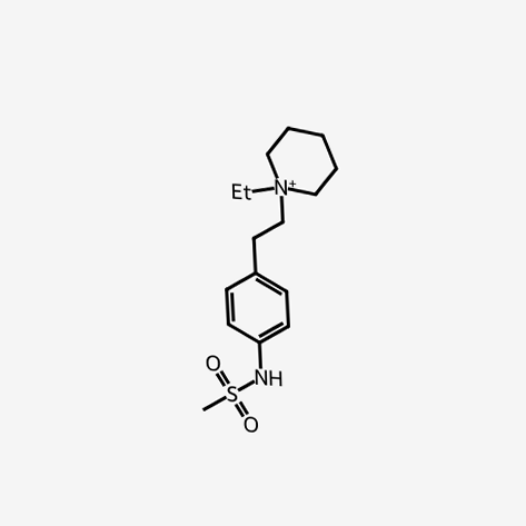 CC[N+]1(CCc2ccc(NS(C)(=O)=O)cc2)CCCCC1